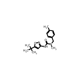 Cc1ccc(CN(C)C(=O)Nc2cc(C(C)(C)C)on2)cc1